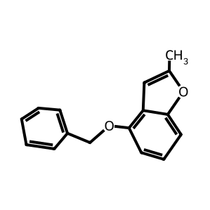 Cc1cc2c(OCc3ccccc3)cccc2o1